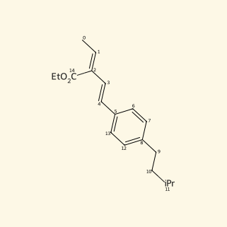 C/C=C(/C=C/c1ccc(CCC(C)C)cc1)C(=O)OCC